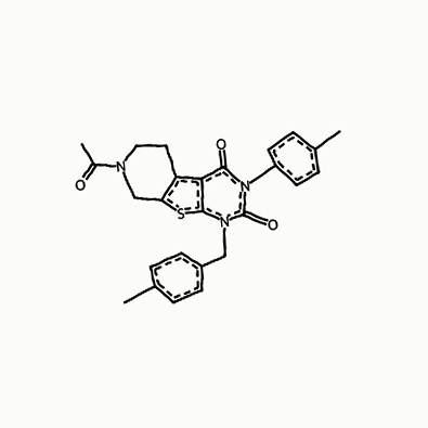 CC(=O)N1CCc2c(sc3c2c(=O)n(-c2ccc(C)cc2)c(=O)n3Cc2ccc(C)cc2)C1